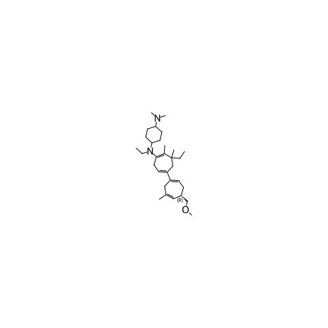 CCN(C1=C(C)C(C)(CC)CC(C2=CC[C@@H](COC)C=C(C)C2)=CC1)C1CCC(N(C)C)CC1